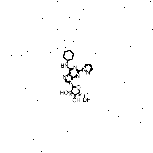 OC[C@H]1OC(n2cnc3c(NC4CCCCC4)nc(-n4cccn4)nc32)[C@H](O)[C@@H]1O